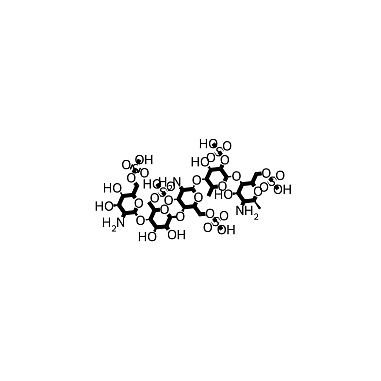 CC1O[C@@H](O[C@@H]2C(COS(=O)(=O)O)O[C@@H](O[C@H]3C(C)O[C@@H](O[C@@H]4C(COS(=O)(=O)O)O[C@@H](C)C(N)[C@H]4O)C(OS(=O)(=O)O)[C@@H]3O)C(N)[C@H]2OS(=O)(=O)O)C(O)[C@@H](O)[C@@H]1O[C@@H]1OC(COS(=O)(=O)O)[C@@H](O)[C@H](O)C1N